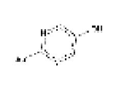 CC(C)(C)c1ncc(O)cn1